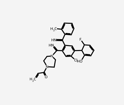 C=CC(=O)N1CCN(C(=N)c2cc(Cl)c(C3C(O)=CC=CC3F)cc2C(=N)c2ccccc2C)CC1